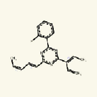 C=C/C(=C\C)c1nc(/C=C/C=C\C)nc(-c2ccccc2F)n1